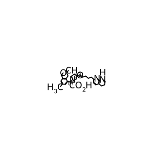 Cc1cc2c(c([C@@H](C(=O)O)N3CC[C@@H](OCCCCc4ccc5c(n4)NCCC5)C3)c1)CC(C)OC2